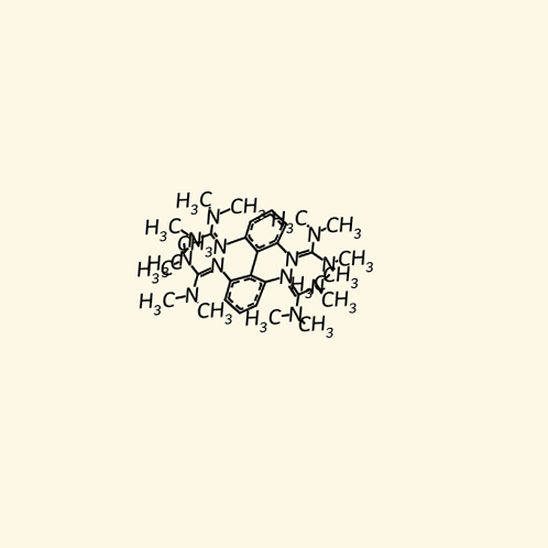 CN(C)C(=Nc1cccc(N=C(N(C)C)N(C)C)c1-c1c(N=C(N(C)C)N(C)C)cccc1N=C(N(C)C)N(C)C)N(C)C